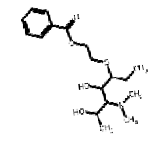 CC[C@H](OCCOC(=O)c1ccccc1)C(O)C([C@@H](C)O)N(C)C